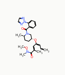 C=C/C=C(\C=C(/C)C(=O)N(C)OC)O[C@@H]1CC[C@@H](C)N(C(=O)c2ccccc2-n2nccn2)C1